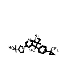 CN1CC(C)(C(O)(c2ccc(C3(C(F)(F)F)CC3)cc2)c2cncc(N3CC[C@H](C(C)(C)O)C3)c2)C1